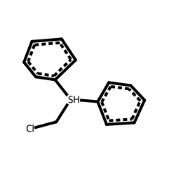 ClC[SH](c1ccccc1)c1ccccc1